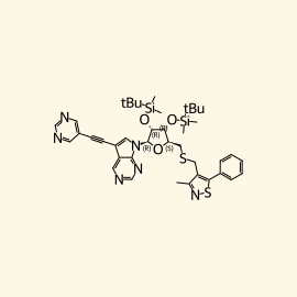 Cc1nsc(-c2ccccc2)c1CSC[C@H]1O[C@@H](n2cc(C#Cc3cncnc3)c3cncnc32)[C@H](O[Si](C)(C)C(C)(C)C)[C@@H]1O[Si](C)(C)C(C)(C)C